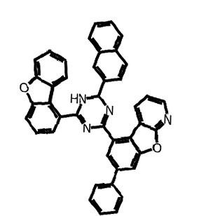 c1ccc(-c2cc(C3=NC(c4ccc5ccccc5c4)NC(c4cccc5oc6ccccc6c45)=N3)c3c(c2)oc2ncccc23)cc1